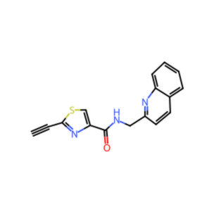 C#Cc1nc(C(=O)NCc2ccc3ccccc3n2)cs1